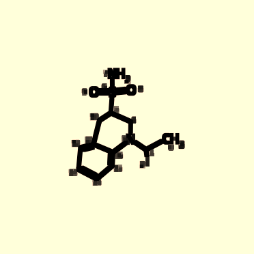 CC(I)N1CC(S(N)(=O)=O)Cc2ccccc21